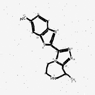 CC1NCCn2c(-c3nc4ccc(C#N)cc4s3)nnc21